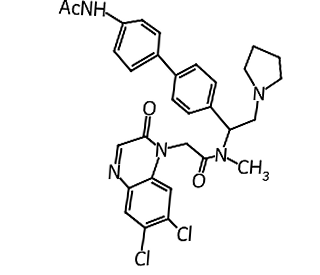 CC(=O)Nc1ccc(-c2ccc(C(CN3CCCC3)N(C)C(=O)Cn3c(=O)cnc4cc(Cl)c(Cl)cc43)cc2)cc1